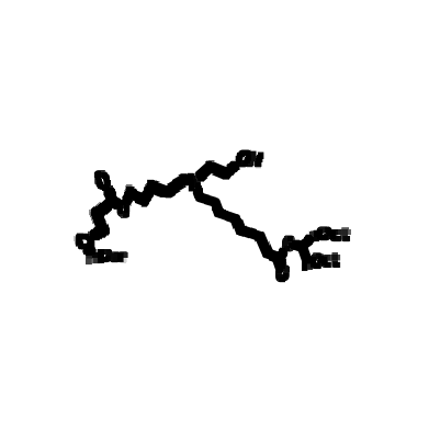 CCCCCCCCCCOCCC(=O)OCCCCCN(CCO)CCCCCCCC(=O)OC(CCCCCCCC)CCCCCCCC